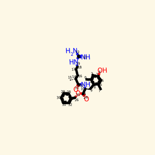 Cc1cc(O)cc(C)c1C[C@H](NC(=O)[C@H](C)CCCNC(=N)N)C(=O)OCc1ccccc1